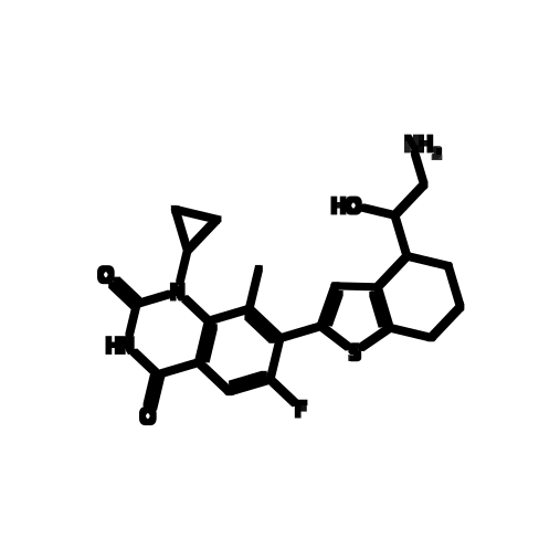 Cc1c(-c2cc3c(s2)CCCC3C(O)CN)c(F)cc2c(=O)[nH]c(=O)n(C3CC3)c12